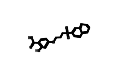 O=C(O)c1ccc(OCCCS(=O)(=O)c2ccc3ccccc3c2)cc1O